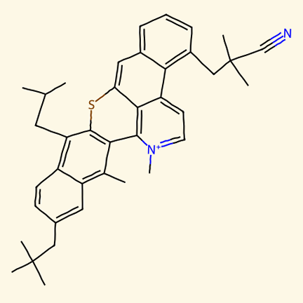 Cc1c2c(c(CC(C)C)c3ccc(CC(C)(C)C)cc13)Sc1cc3cccc(CC(C)(C)C#N)c3c3cc[n+](C)c-2c13